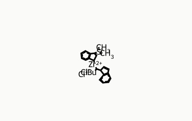 CCC(C)[CH]([Zr+2][CH]1C2=C(c3ccccc31)[Si]2(C)C)C1C=Cc2ccccc21.[Cl-].[Cl-]